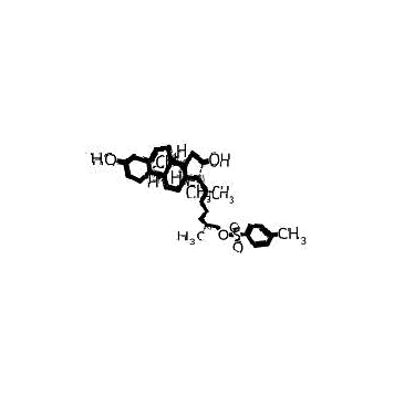 Cc1ccc(S(=O)(=O)OC[C@H](C)CCC[C@@H](C)[C@H]2C(O)C[C@H]3[C@@H]4CC=C5CC(O)CC[C@]5(C)[C@H]4CC[C@]23C)cc1